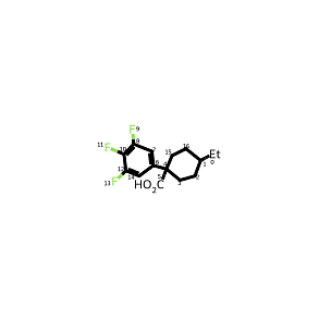 CCC1CCC(C(=O)O)(c2cc(F)c(F)c(F)c2)CC1